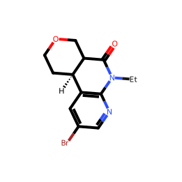 CCN1C(=O)C2COCC[C@@H]2c2cc(Br)cnc21